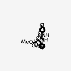 COC(OC)[C@]1(C)Oc2ccccc2[C@H](NC(=NC#N)Nc2ccc(Cl)cc2)[C@H]1O